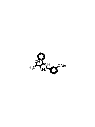 COc1cccc(CNC(c2ccccc2)C(N)C(C)O)c1